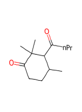 CCCC(=O)C1C(C)CCC(=O)C1(C)C